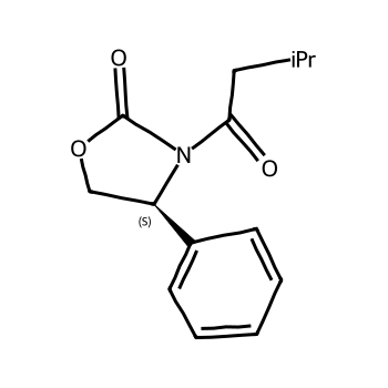 CC(C)CC(=O)N1C(=O)OC[C@@H]1c1ccccc1